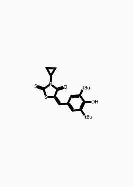 CC(C)(C)c1cc(C=C2SC(=S)N(C3CC3)C2=O)cc(C(C)(C)C)c1O